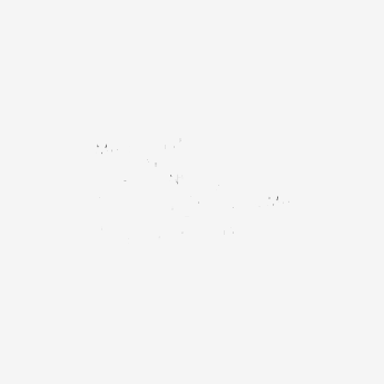 COC(=O)CC(=O)NC1(C(=O)OC)CCCCCC1